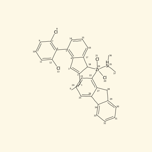 CCC1=Cc2c(-c3c(Cl)cccc3Cl)cccc2[CH]1[Zr]([Cl])([Cl])([c]1cccc2c1Cc1ccccc1-2)[SiH](C)C